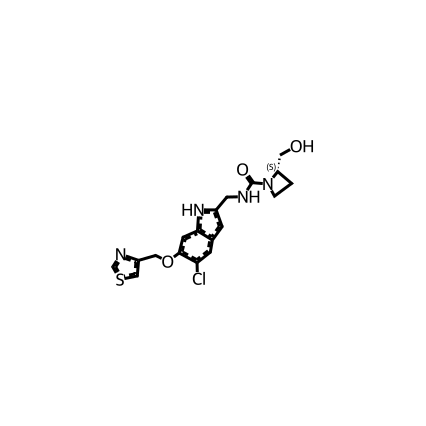 O=C(NCc1cc2cc(Cl)c(OCc3cscn3)cc2[nH]1)N1CC[C@H]1CO